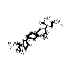 CCC[C@H](C(=O)O)[C@H](Cc1ccc(C2CCN(C(=N)N)C2)cc1)c1nnn[nH]1